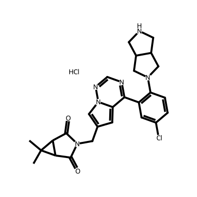 CC1(C)C2C(=O)N(Cc3cc4c(-c5cc(Cl)ccc5N5CC6CNCC6C5)ncnn4c3)C(=O)C21.Cl